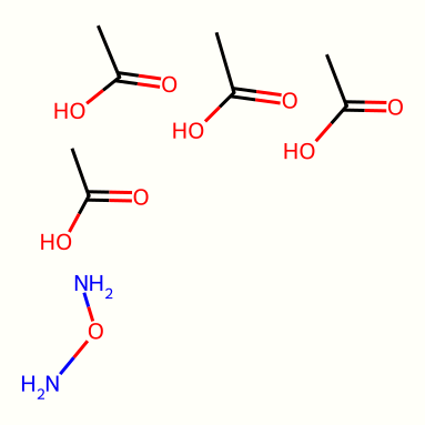 CC(=O)O.CC(=O)O.CC(=O)O.CC(=O)O.NON